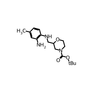 Cc1ccc(NCC2CN(C(=O)OC(C)(C)C)CCO2)c(N)c1